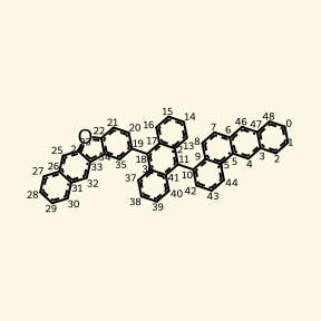 c1ccc2cc3c(ccc4c(-c5c6ccccc6c(-c6ccc7oc8cc9ccccc9cc8c7c6)c6ccccc56)cccc43)cc2c1